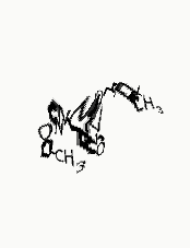 Cc1cccc(Oc2ccn(-c3cc(N4CCOCC4)nc(OCCc4cnn(C)c4)n3)n2)c1